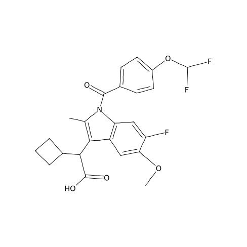 COc1cc2c(C(C(=O)O)C3CCC3)c(C)n(C(=O)c3ccc(OC(F)F)cc3)c2cc1F